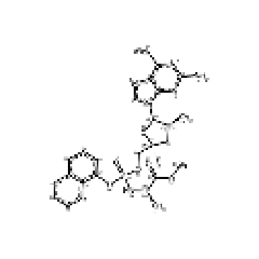 CNc1nc(N)nc2c1ncn2[C@@H]1O[C@](F)(COP(=O)(N[C@H](C)C(=O)OC(C)C)Oc2cccc3ccccc23)C[C@@H]1C